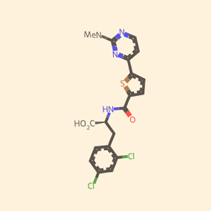 CNc1nccc(-c2ccc(C(=O)N[C@@H](Cc3ccc(Cl)cc3Cl)C(=O)O)s2)n1